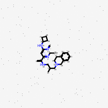 C=N/C(=C\C(=N/CC(C)C)C(=C)NCC(C)CN1CCc2ccccc2C1)NC1CCC1